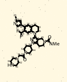 CNC(=O)N1CCc2c(c(N3CCCc4cc(-c5cnn(C)c5)c(C(F)F)cc43)nn2C2CCN(C(=O)CN3CCNCC3)CC2)C1